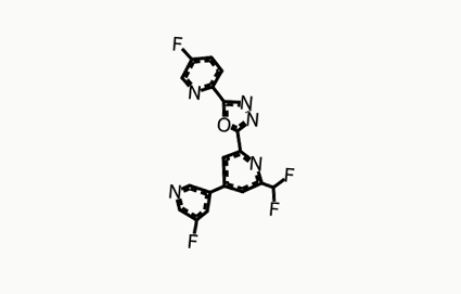 Fc1ccc(-c2nnc(-c3cc(-c4cncc(F)c4)cc(C(F)F)n3)o2)nc1